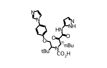 CCCC[C@@H](C(=O)C(=O)Nc1ccn[nH]1)N(C(=O)O)C(COc1ccc(-n2ccnc2)cc1)C(C)(C)C